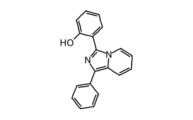 Oc1ccccc1-c1nc(-c2ccccc2)c2ccccn12